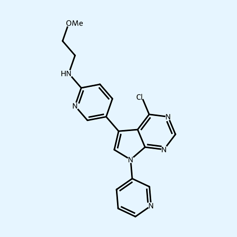 COCCNc1ccc(-c2cn(-c3cccnc3)c3ncnc(Cl)c23)cn1